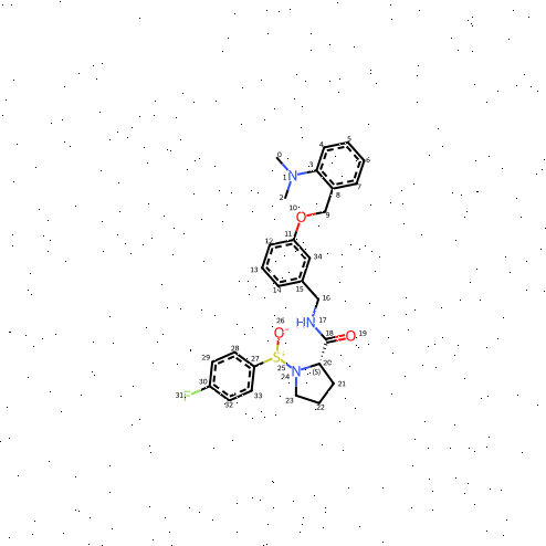 CN(C)c1ccccc1COc1cccc(CNC(=O)[C@@H]2CCCN2[S+]([O-])c2ccc(F)cc2)c1